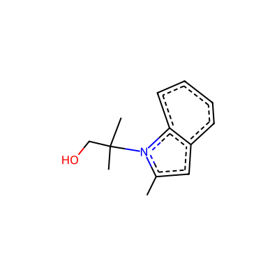 Cc1cc2ccccc2n1C(C)(C)CO